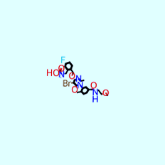 COCCNC(=O)c1ccc(C)c(-n2c(C)nc(OCc3ccc(F)cc3CN(C)C(=O)O)c(Br)c2=O)c1